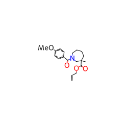 C=CCOC(=O)C1(C)CCCCN(C(=O)c2ccc(OC)cc2)C1